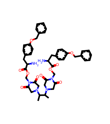 CC(C(C)N1CC(=O)N(COC(=O)C(N)Cc2ccc(OCc3ccccc3)cc2)C(=O)C1)N1CC(=O)N(COC(=O)C(N)Cc2ccc(OCc3ccccc3)cc2)C(=O)C1